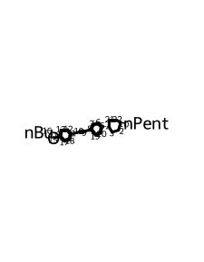 CCCCC[C@H]1CC[C@H](c2ccc(C#Cc3ccc(OCCCC)cc3)cc2)CC1